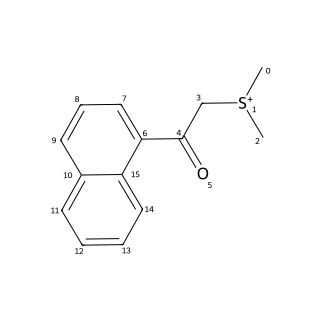 C[S+](C)CC(=O)c1cccc2ccccc12